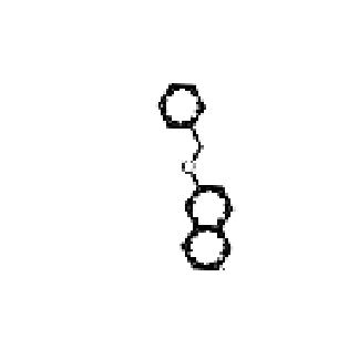 [c]1ccc2cc(OCc3ccccc3)ccc2c1